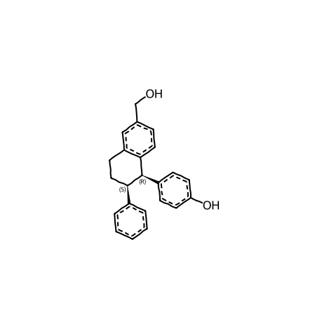 OCc1ccc2c(c1)CC[C@H](c1ccccc1)[C@@H]2c1ccc(O)cc1